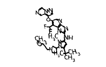 COCCN1CCC(n2nc(Nc3nc4ncc(Oc5cnn6ccncc56)c(C(F)F)c4n3C)cc2C(C)(C)C)C1